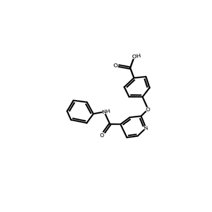 O=C(O)c1ccc(Oc2cc(C(=O)Nc3ccccc3)ccn2)cc1